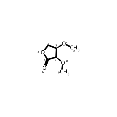 CO[C@@H]1COC(=O)[C@@H]1OC